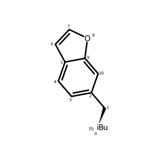 CC[C@H](C)Cc1ccc2ccoc2c1